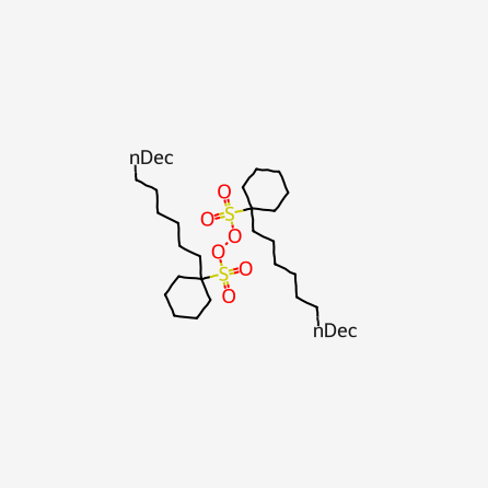 CCCCCCCCCCCCCCCCC1(S(=O)(=O)OOS(=O)(=O)C2(CCCCCCCCCCCCCCCC)CCCCC2)CCCCC1